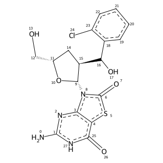 Nc1nc2c(sc(=O)n2[C@@H]2O[C@H](CO)C[C@H]2C(O)c2ccccc2Cl)c(=O)[nH]1